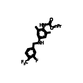 CCCOC(=O)Nc1c(C)cc(NCc2ccc(C(F)(F)F)c(F)c2)cc1C